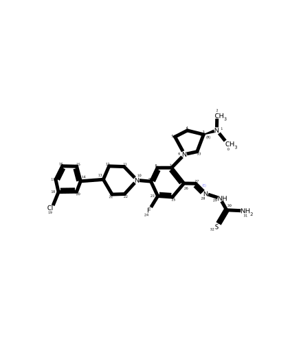 CN(C)[C@@H]1CCN(c2cc(N3CCC(c4cccc(Cl)c4)CC3)c(F)cc2/C=N/NC(N)=S)C1